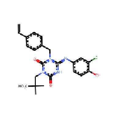 C=Cc1ccc(Cn2c(=O)n(CC(C)(C)C(=O)O)c(=O)[nH]/c2=N\c2ccc(O)c(Cl)c2)cc1